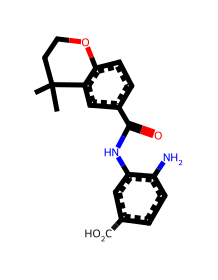 CC1(C)CCOc2ccc(C(=O)Nc3cc(C(=O)O)ccc3N)cc21